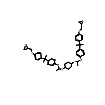 CC(Oc1ccc(C(C)(C)c2ccc(OCC3CO3)cc2)cc1)OC1CCC(OC(C)Oc2ccc(C(C)(C)c3ccc(OCC4CO4)cc3)cc2)CC1